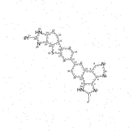 Cc1nc2c3ncncc3c3cc(-c4ccc5c(c4)sc4c5ccc5[nH]c(C(C)C)nc54)ccc3c2[nH]1